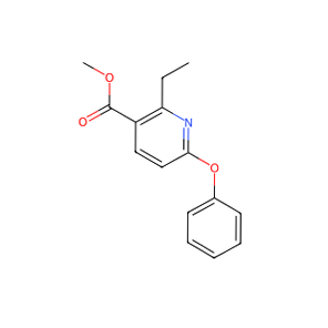 CCc1nc(Oc2ccccc2)ccc1C(=O)OC